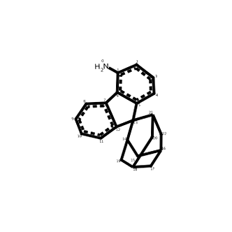 Nc1cccc2c1-c1ccccc1C21C2CC3CC(C2)CC1C3